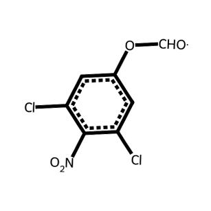 O=[C]Oc1cc(Cl)c([N+](=O)[O-])c(Cl)c1